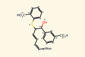 CCCCCCCCC/C=C\C=C\C(Sc1ccccc1C(=O)O)C(O)c1cccc(C(=O)O)c1